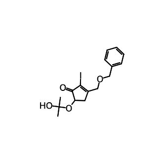 CC(C)(O)OC1CC(COCc2ccccc2)=C(I)C1=O